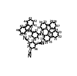 N#Cc1cc(C#N)c(-c2cc(N3c4ccccc4C(c4ccccc4)(c4ccccc4)c4ccccc43)cc(-n3c4ccccc4c4ccccc43)c2)c(C#N)c1